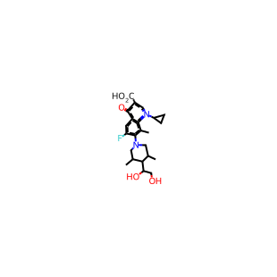 Cc1c(N2CC(C)C(C(O)CO)C(C)C2)c(F)cc2c(=O)c(C(=O)O)cn(C3CC3)c12